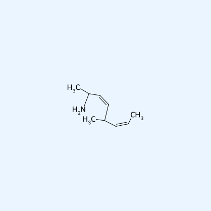 C/C=C\C(C)/C=C\C(C)N